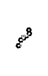 O[C@H](CN1CCc2ccccc2C1)CN1CCC[C@@H](c2ccccn2)C1